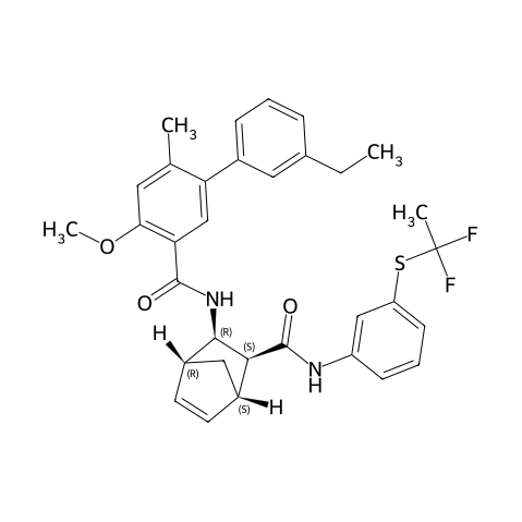 CCc1cccc(-c2cc(C(=O)N[C@H]3[C@@H](C(=O)Nc4cccc(SC(C)(F)F)c4)[C@@H]4C=C[C@H]3C4)c(OC)cc2C)c1